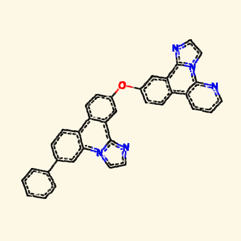 c1ccc(-c2ccc3c4ccc(Oc5ccc6c7cccnc7n7ccnc7c6c5)cc4c4nccn4c3c2)cc1